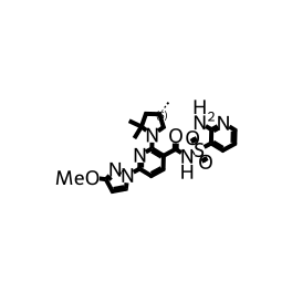 COc1ccn(-c2ccc(C(=O)NS(=O)(=O)c3cccnc3N)c(N3C[C@@H](C)CC3(C)C)n2)n1